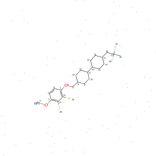 CCCOc1ccc(OCC2CCC(C3CCC(CC(C)(F)F)CC3)CC2)c(F)c1F